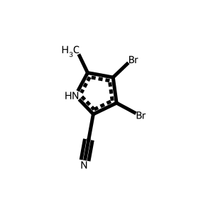 Cc1[nH]c(C#N)c(Br)c1Br